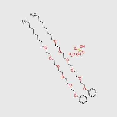 CCCCCCCCCOCCOCCOCCOCCOCCOc1ccccc1.CCCCCCCCCOCCOCCOCCOCCOCCOc1ccccc1.O.O=S(=O)(O)O